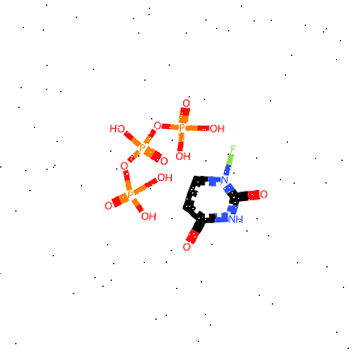 O=P(O)(O)OP(=O)(O)OP(=O)(O)O.O=c1ccn(F)c(=O)[nH]1